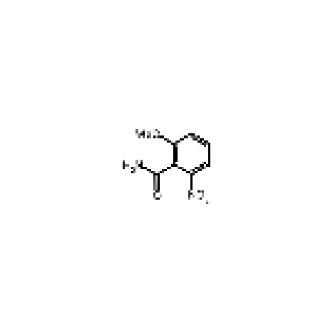 COc1cccc([N+](=O)[O-])c1C(N)=O